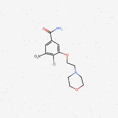 NC(=O)c1cc(OCCN2CCOCC2)c(Cl)c([N+](=O)[O-])c1